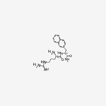 CNC(=O)[C@H](Cc1ccc2ccccc2c1)NC(=O)[C@H](N)CCCNC(=N)N